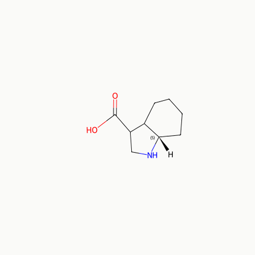 O=C(O)C1CN[C@H]2CCCCC12